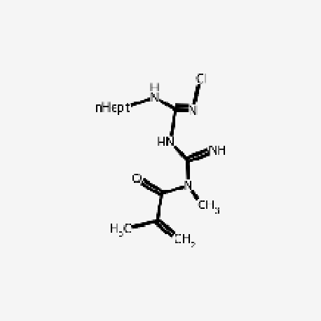 C=C(C)C(=O)N(C)C(=N)N/C(=N/Cl)NCCCCCCC